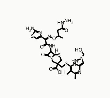 CC1=NC2=CN(CO)NN2C(SCC2(C(=O)O)CS[C@@H]3C(NC(=O)C(=NOC(C)CC(=O)NN)c4csc(N)n4)C(=O)N3C2)=C1C